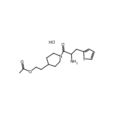 CC(=O)OCCC1CCN(C(=O)C(N)Cc2cccs2)CC1.Cl